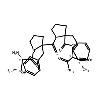 C[C@@H](O)[C@H](N)C(=O)N1CCCC1(Cc1ccccc1)C(=O)N1CCCC1(Cc1ccccc1)C(=O)N[C@H](C(N)=O)[C@@H](C)O